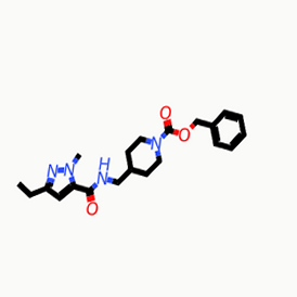 CCc1cc(C(=O)NCC2CCN(C(=O)OCc3ccccc3)CC2)n(C)n1